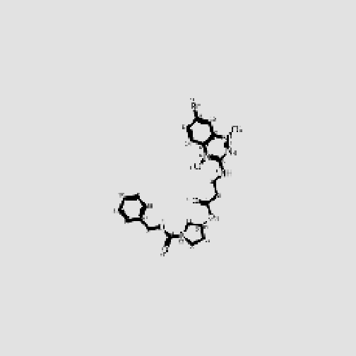 O=C(CCNc1n[n+]([O-])c2cc(Br)ccc2[n+]1[O-])O[C@@H]1CCN(C(=O)OCc2ccccc2)C1